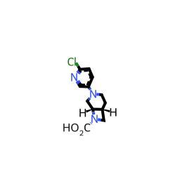 O=C(O)N1C[C@H]2CCN(c3ccc(Cl)nc3)C[C@H]21